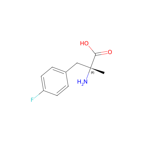 C[C@@](N)(Cc1ccc(F)cc1)C(=O)O